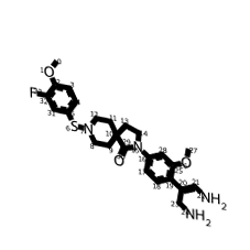 COc1ccc(SN2CCC3(CC2)CCN(c2ccc(/C(=C/N)CN)c(OC)c2)C3=O)cc1F